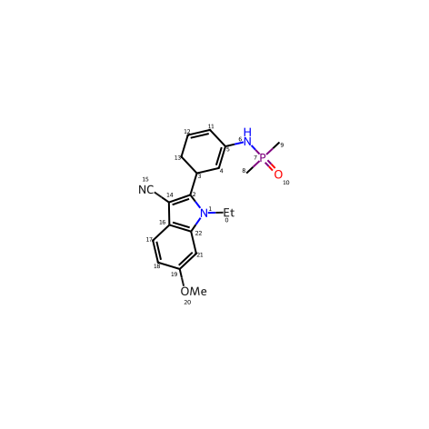 CCn1c(C2C=C(NP(C)(C)=O)C=CC2)c(C#N)c2ccc(OC)cc21